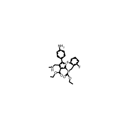 CCOC(=O)c1c(N(Cc2c(F)cccc2F)C(=O)OCC)sc(-c2ccc(N)cc2)c1CNC